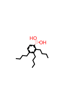 CCCCc1ccc(B(O)O)c(CCCC)c1CCCC